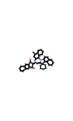 Cc1cc(C)c2ccccc2c1N1/C(=C\C=C2C(=O)c3cc4ccccc4cc3C2=O)C2(CCCCC2)c2c1ccc1ccccc21